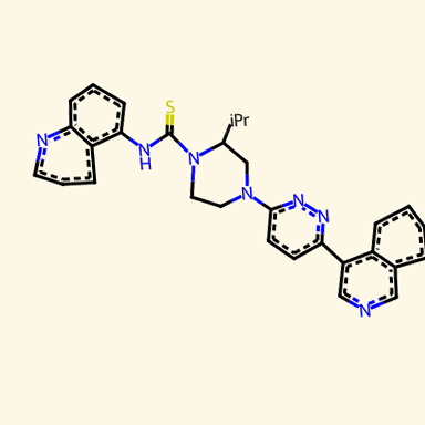 CC(C)C1CN(c2ccc(-c3cncc4ccccc34)nn2)CCN1C(=S)Nc1cccc2ncccc12